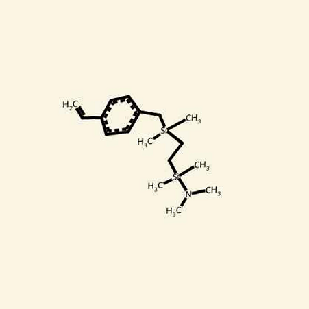 C=Cc1ccc(C[Si](C)(C)CC[Si](C)(C)N(C)C)cc1